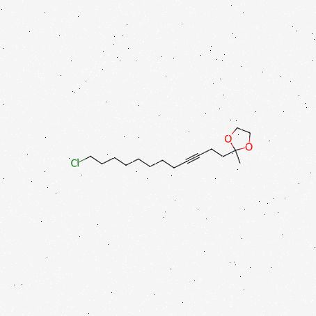 CC1(CCC#CCCCCCCCCCl)OCCO1